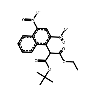 CCOC(=O)C(C(=O)OC(C)(C)C)c1c([N+](=O)[O-])cc([N+](=O)[O-])c2ccccc12